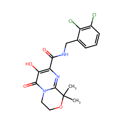 CC1(C)OCCn2c1nc(C(=O)NCc1cccc(Cl)c1Cl)c(O)c2=O